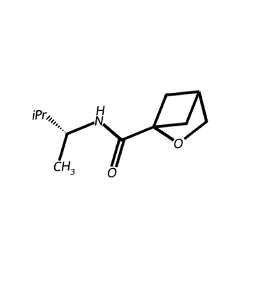 CC(C)[C@@H](C)NC(=O)C12CC(CO1)C2